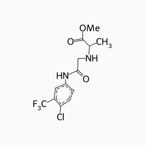 COC(=O)C(C)NCC(=O)Nc1ccc(Cl)c(C(F)(F)F)c1